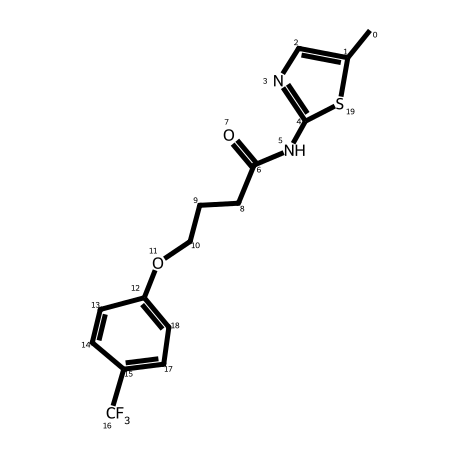 Cc1cnc(NC(=O)CCCOc2ccc(C(F)(F)F)cc2)s1